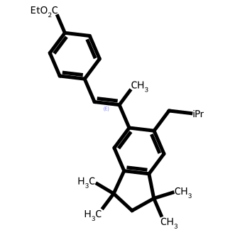 CCOC(=O)c1ccc(/C=C(\C)c2cc3c(cc2CC(C)C)C(C)(C)CC3(C)C)cc1